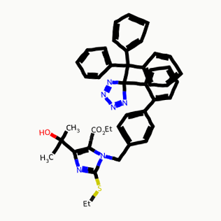 CCOC(=O)c1c(C(C)(C)O)nc(SCC)n1Cc1ccc(-c2ccccc2C2(C(c3ccccc3)(c3ccccc3)c3ccccc3)N=NN=N2)cc1